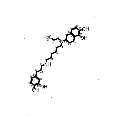 CCCN(CCCCCCNCCCc1ccc(O)c(O)c1)C1CCc2c(ccc(O)c2O)C1